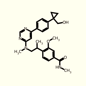 CNC(=O)c1ccc(C(C)CN(C)c2cc(-c3ccc(C4(CO)CC4)cc3)ncn2)c(OC)c1